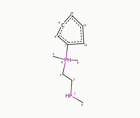 CPCC[PH](C)(C)c1ccccc1